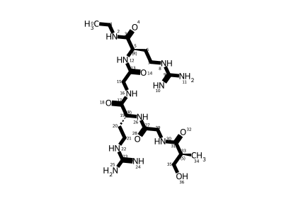 CCNC(=O)[C@@H](CCNC(=N)N)NC(=O)CNC(=O)[C@@H](CCNC(=N)N)NC(=O)CNC(=O)[C@@H](C)CO